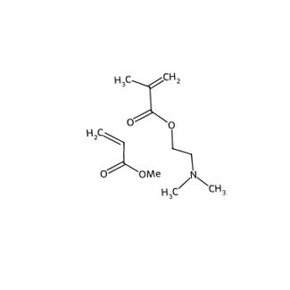 C=C(C)C(=O)OCCN(C)C.C=CC(=O)OC